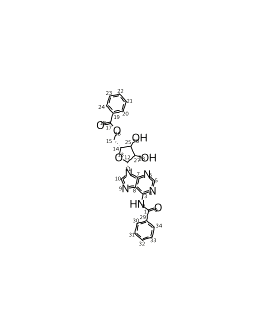 O=C(Nc1ncnc2c1ncn2[C@@H]1O[C@H](COC(=O)c2ccccc2)C(O)[C@H]1O)c1ccccc1